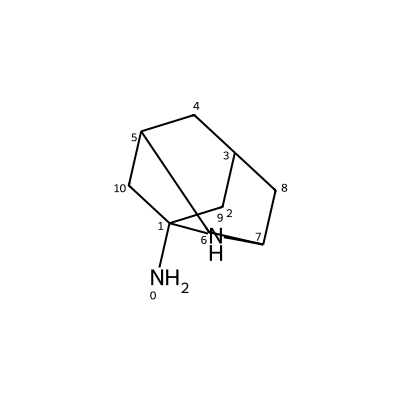 NC12CC3CC(CC(C3)N1)C2